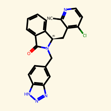 N#Cc1nccc(Cl)c1C[C@@H]1c2ccccc2C(=O)N1Cc1ccc2[nH]nnc2c1